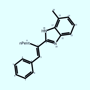 CCCCC/C(=C\c1ccccc1)c1nc2cccc(C)c2[nH]1